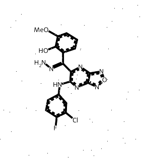 COc1cccc(C(=NN)c2nc3nonc3nc2Nc2ccc(F)c(Cl)c2)c1O